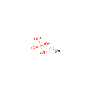 O=P(O)(O)O.[Cl][Zn]